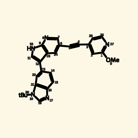 COc1cc(C#Cc2cnc3[nH]cc(-c4ccc5ncn(C(C)(C)C)c5c4)c3c2)ccn1